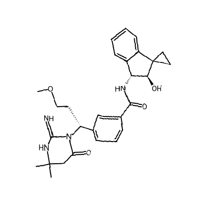 COCC[C@H](c1cccc(C(=O)N[C@@H]2c3ccccc3C3(CC3)[C@H]2O)c1)N1C(=N)NC(C)(C)CC1=O